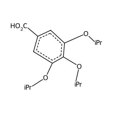 CC(C)Oc1cc(C(=O)O)cc(OC(C)C)c1OC(C)C